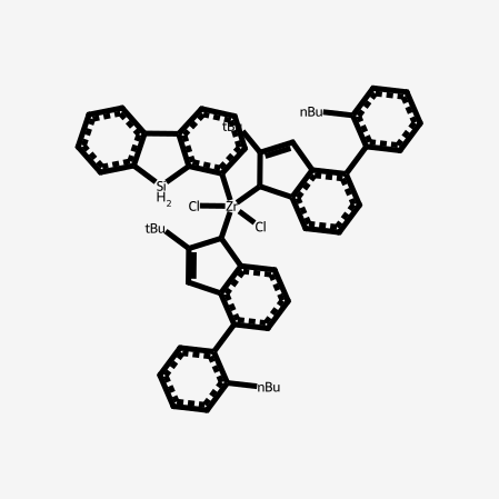 CCCCc1ccccc1-c1cccc2c1C=C(C(C)(C)C)[CH]2[Zr]([Cl])([Cl])([c]1cccc2c1[SiH2]c1ccccc1-2)[CH]1C(C(C)(C)C)=Cc2c(-c3ccccc3CCCC)cccc21